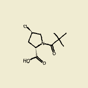 CC(C)(C)C(=O)N1C[C@H](Cl)C[C@H]1C(=O)O